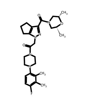 Cc1c(F)ccc(N2CCN(C(=O)Cn3nc(C(=O)N4C[C@@H](C)O[C@@H](C)C4)c4c3CCC4)CC2)c1C